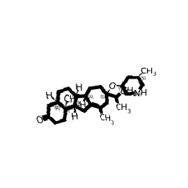 CC1=C2C[C@H]3[C@@H](CC[C@@H]4CC(=O)CC[C@@]43C)[C@@H]2CC[C@@](O[C@H]2CNC[C@@H](C)C2)(C(C)C)C1